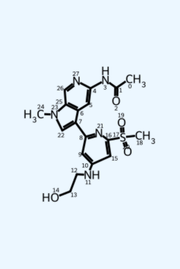 CC(=O)Nc1cc2c(-c3cc(NCCO)cc(S(C)(=O)=O)n3)cn(C)c2cn1